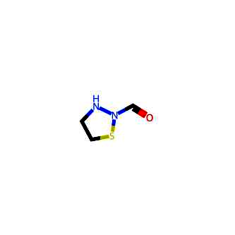 O=CN1NCCS1